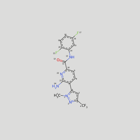 Cn1nc(C(F)(F)F)cc1-c1ccc(C(=O)Nc2cc(F)ccc2F)nc1N